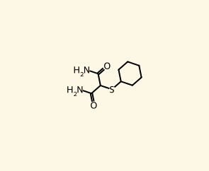 NC(=O)C(SC1CCCCC1)C(N)=O